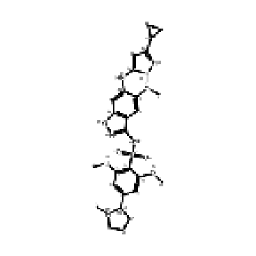 COc1cc2c(NS(=O)(=O)c3c(OC)cc([C@H]4CCCN4C)cc3OC)noc2cc1Nc1cc(C2CC2)n[nH]1